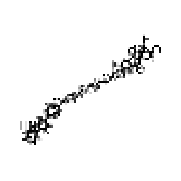 O=C1CCC(N2C(=O)c3cc(F)c(OCCOCCOCCOCCOCCOc4ccc(-c5ccc6c(c5)[nH]c5ccncc56)cn4)cc3C2=O)C(=O)N1